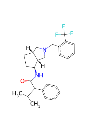 CC(C)C(C(=O)N[C@H]1CC[C@@H]2CN(Cc3ccccc3C(F)(F)F)C[C@@H]21)c1ccccc1